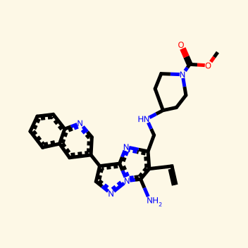 C=Cc1c(CNC2CCN(C(=O)OC)CC2)nc2c(-c3cnc4ccccc4c3)cnn2c1N